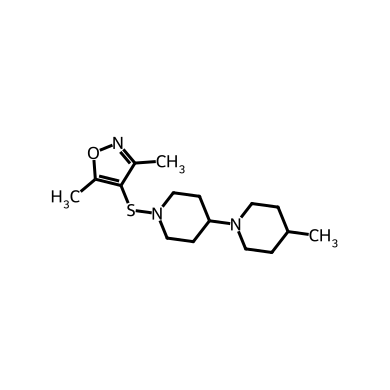 Cc1noc(C)c1SN1CCC(N2CCC(C)CC2)CC1